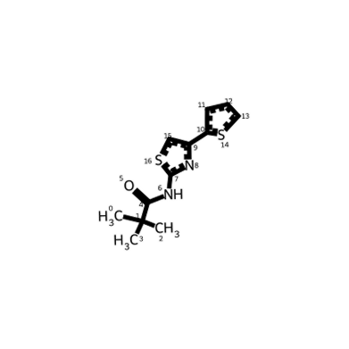 CC(C)(C)C(=O)Nc1nc(-c2cccs2)cs1